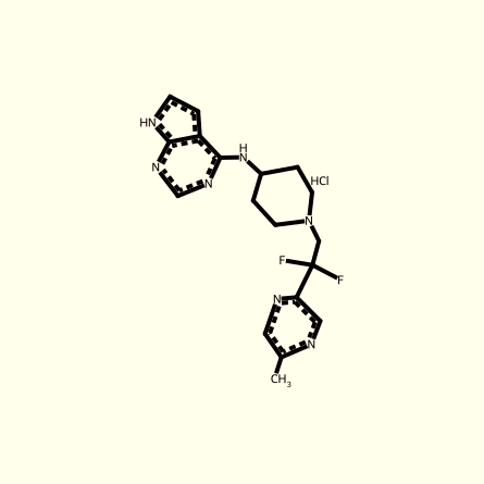 Cc1cnc(C(F)(F)CN2CCC(Nc3ncnc4[nH]ccc34)CC2)cn1.Cl